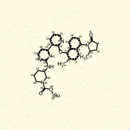 Cc1ccc2c(N3C(=O)CCC3C)cccc2c1Oc1ncccc1-c1ccnc(NC2CCCN(C(=O)OC(C)(C)C)C2)n1